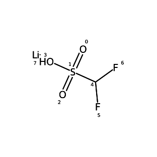 O=S(=O)(O)C(F)F.[Li]